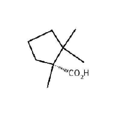 CC1(C)CCC[C@@]1(C)C(=O)O